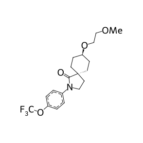 COCCO[C@H]1CC[C@@]2(CCN(c3ccc(OC(F)(F)F)cc3)C2=O)CC1